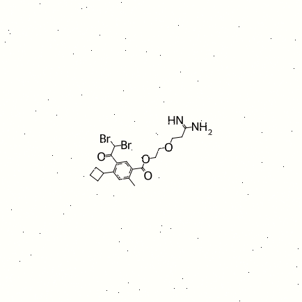 Cc1cc(C2CCC2)c(C(=O)C(Br)Br)cc1C(=O)OCCOCCC(=N)N